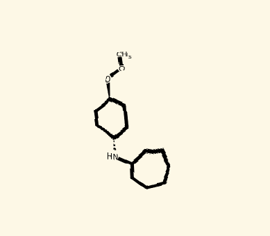 COO[C@H]1CC[C@H](NC2CCCCCC2)CC1